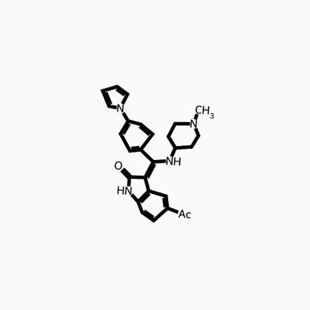 CC(=O)c1ccc2c(c1)C(=C(NC1CCN(C)CC1)c1ccc(-n3cccc3)cc1)C(=O)N2